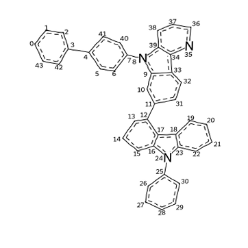 c1ccc(-c2ccc(-n3c4cc(-c5cccc6c5c5ccccc5n6-c5ccccc5)ccc4c4ncccc43)cc2)cc1